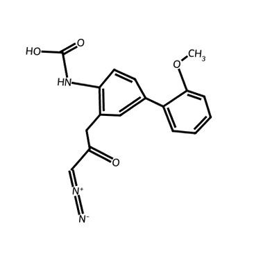 COc1ccccc1-c1ccc(NC(=O)O)c(CC(=O)C=[N+]=[N-])c1